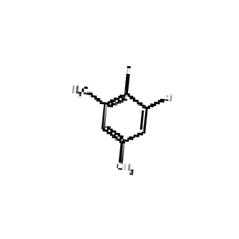 Cc1cc(C)c(F)c(Cl)c1